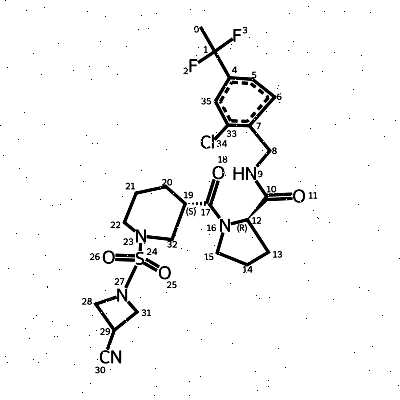 CC(F)(F)c1ccc(CNC(=O)[C@H]2CCCN2C(=O)[C@H]2CCCN(S(=O)(=O)N3CC(C#N)C3)C2)c(Cl)c1